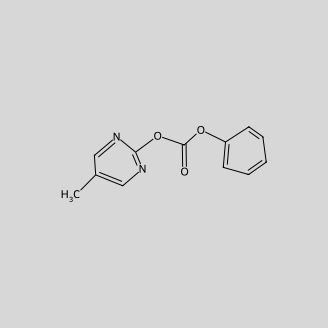 Cc1cnc(OC(=O)Oc2ccccc2)nc1